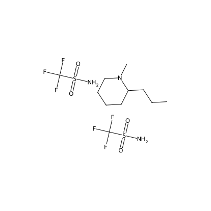 CCCC1CCCCN1C.NS(=O)(=O)C(F)(F)F.NS(=O)(=O)C(F)(F)F